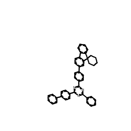 c1ccc(-c2ccc(-c3nc(-c4ccccc4)nc(-c4ccc(-c5ccc6c(c5)C5(CCCCC5)c5ccccc5-6)cc4)n3)cc2)cc1